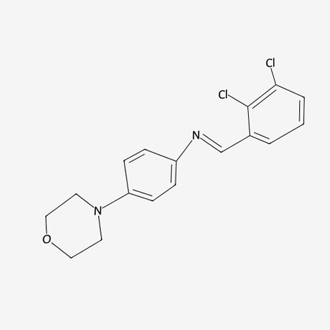 Clc1cccc(C=Nc2ccc(N3CCOCC3)cc2)c1Cl